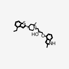 CCc1cccc2sc([C@@H]3CCN(C[C@H](O)COc4cccc5[nH]c(C)cc45)[C@H](C)C3)cc12